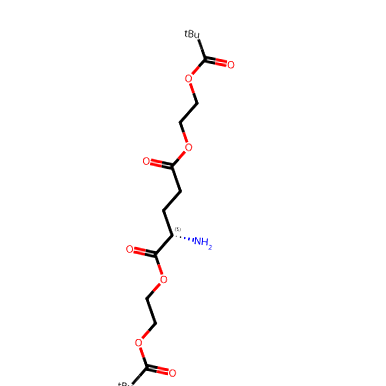 CC(C)(C)C(=O)OCCOC(=O)CC[C@H](N)C(=O)OCCOC(=O)C(C)(C)C